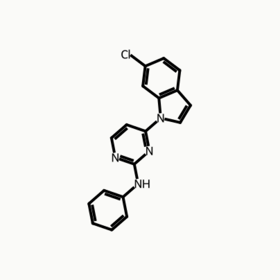 Clc1ccc2ccn(-c3ccnc(Nc4ccccc4)n3)c2c1